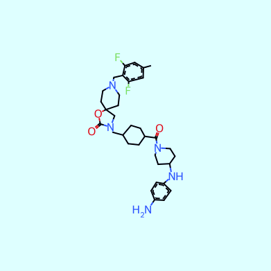 Cc1cc(F)c(CN2CCC3(CC2)CN(CC2CCC(C(=O)N4CCC(Nc5ccc(N)cc5)CC4)CC2)C(=O)O3)c(F)c1